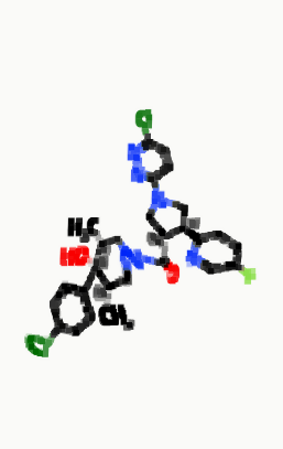 C[C@@H]1CN(C(=O)[C@@H]2CN(c3ccc(Cl)nn3)C[C@H]2c2ccc(F)cn2)C[C@H](C)[C@@]1(O)c1ccc(Cl)cc1